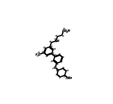 CC(C)(C)C1CCC(Oc2cccc(-c3cc(CNCCC(=O)O)cc(C(F)(F)F)c3)c2)CC1